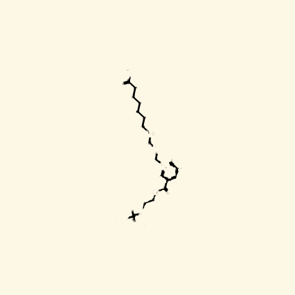 COC(=O)CCCCCCNCOC[n+]1cccc(C(=O)NCCOC(C)(C)C)c1